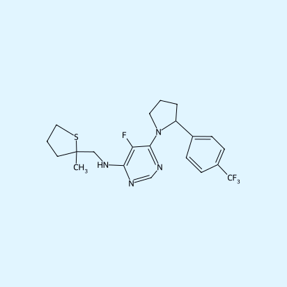 CC1(CNc2ncnc(N3CCCC3c3ccc(C(F)(F)F)cc3)c2F)CCCS1